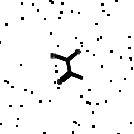 CCC([O])C(C)=O